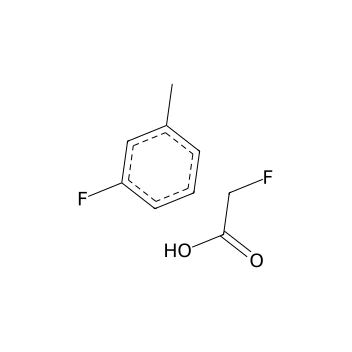 Cc1cccc(F)c1.O=C(O)CF